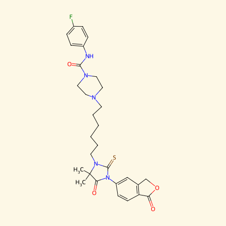 CC1(C)C(=O)N(c2ccc3c(c2)COC3=O)C(=S)N1CCCCCCN1CCN(C(=O)Nc2ccc(F)cc2)CC1